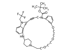 CC(C)(C)OC(=O)N1CC#Cc2cc3c(cccc3n2CC(F)(F)F)NC2CCN(CCOCCOCCOc3cccc1c3)CC2